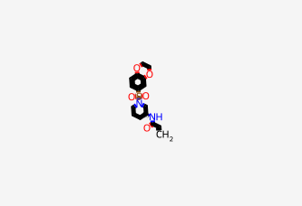 C=CC(=O)N[C@H]1CCCN(S(=O)(=O)c2ccc3c(c2)OCCO3)C1